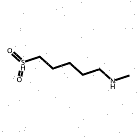 CNCCCCC[SH](=O)=O